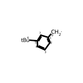 [CH2]c1cccc(C(C)(C)C)c1